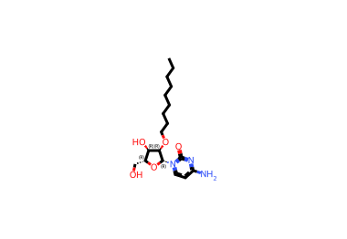 CCCCCCCCCO[C@@H]1[C@H](O)[C@@H](CO)O[C@H]1n1ccc(N)nc1=O